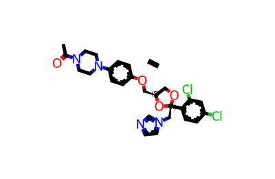 C=C.CC(=O)N1CCN(c2ccc(OC[C@H]3CO[C@](Cn4ccnc4)(c4ccc(Cl)cc4Cl)O3)cc2)CC1